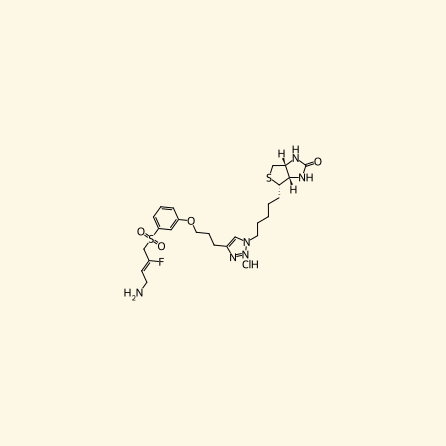 Cl.NC/C=C(\F)CS(=O)(=O)c1cccc(OCCCc2cn(CCCCC[C@@H]3SC[C@@H]4NC(=O)N[C@@H]43)nn2)c1